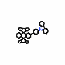 C1=CCC2C(=C1)N(c1ccc(-c3ccc4c(c3)C3(C5=CCCC=C5C45c4ccccc4-c4ccccc45)c4ccccc4-c4ccccc43)cc1)c1ccccc12